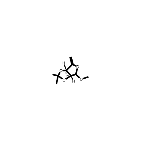 C=C1OC(OC)[C@@H]2OC(C)(C)O[C@H]12